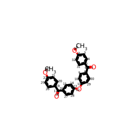 COc1ccc(C(=O)c2ccc(Oc3ccc(C(=O)c4ccc(OC)cc4)cc3)cc2)cc1